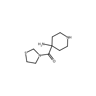 NC1(C(=O)N2CCSC2)CCNCC1